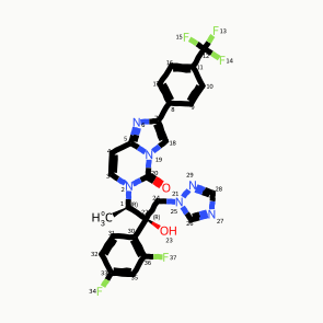 C[C@@H](n1ccc2nc(-c3ccc(C(F)(F)F)cc3)cn2c1=O)[C@](O)(Cn1cncn1)c1ccc(F)cc1F